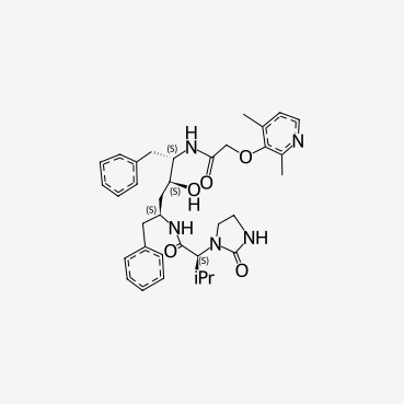 Cc1ccnc(C)c1OCC(=O)N[C@@H](Cc1ccccc1)[C@@H](O)C[C@H](Cc1ccccc1)NC(=O)[C@H](C(C)C)N1CCNC1=O